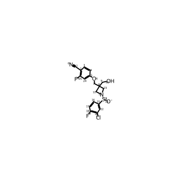 N#Cc1ccc(OCC2(CO)CN([S+]([O-])c3ccc(F)c(Cl)c3)C2)cc1F